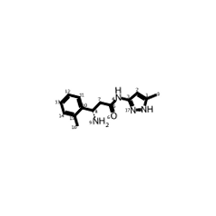 Cc1cc(NC(=O)C[C@H](N)c2ccccc2C)n[nH]1